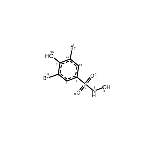 O=S(=O)(NO)c1cc(Br)c(O)c(Br)c1